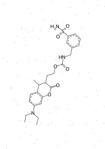 CCN(CC)c1ccc2c(c1)OC(=O)C(CCOC(=O)NCc1cccc(S(N)(=O)=O)c1)C2C